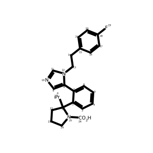 CC(C)C1(c2ccccc2-c2cncn2CCc2ccc(F)cc2)CCCN1C(=O)O